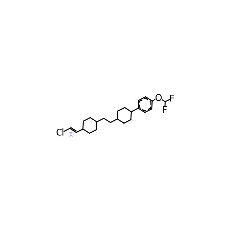 FC(F)Oc1ccc(C2CCC(CCC3CCC(/C=C/Cl)CC3)CC2)cc1